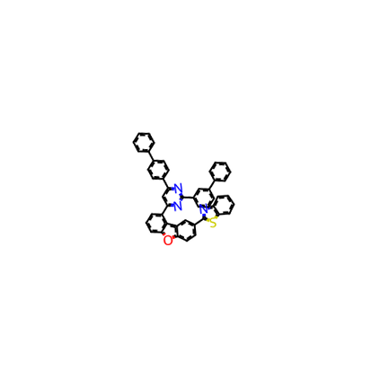 c1ccc(-c2ccc(-c3cc(-c4cccc5oc6ccc(-c7nc8ccccc8s7)cc6c45)nc(-c4cccc(-c5ccccc5)c4)n3)cc2)cc1